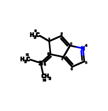 CC1C=C2N=CC=C2C1=[Si](C)C